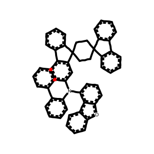 c1ccc(-c2ccccc2N(c2ccc3c(c2)C2(CCC4(CC2)c2ccccc2-c2ccccc24)c2ccccc2-3)c2cccc3oc4ccccc4c23)cc1